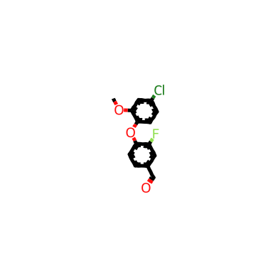 COc1cc(Cl)ccc1Oc1ccc(C=O)cc1F